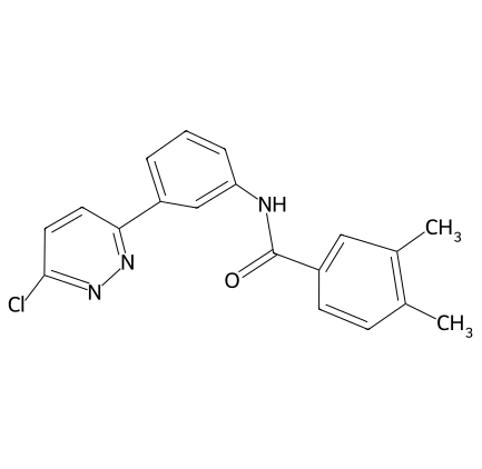 Cc1ccc(C(=O)Nc2cccc(-c3ccc(Cl)nn3)c2)cc1C